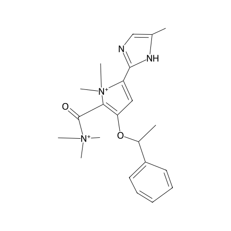 Cc1cnc(C2=CC(OC(C)c3ccccc3)=C(C(=O)[N+](C)(C)C)[N+]2(C)C)[nH]1